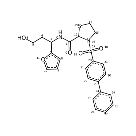 O=C(NC(CCO)c1ccco1)C1SCCN1S(=O)(=O)c1ccc(-c2ccccc2)cc1